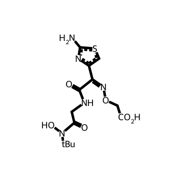 CC(C)(C)N(O)C(=O)CNC(=O)/C(=N\OCC(=O)O)c1csc(N)n1